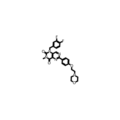 Cn1c(=O)c2nc(-c3ccc(OCCN4CCOCC4)cc3)ncc2n(Cc2ccc(F)c(F)c2)c1=O